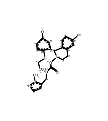 Cn1nccc1COC(=O)ON1CCc2cc(F)ccc2[C@H]1c1cc(Cl)ccc1OCC(=O)O